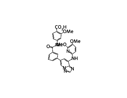 COc1cc(NC(=O)c2cccc(-c3cc(Nc4ccc(OC)c(OC)n4)c4ncnn4c3)c2)ccc1C(=O)O